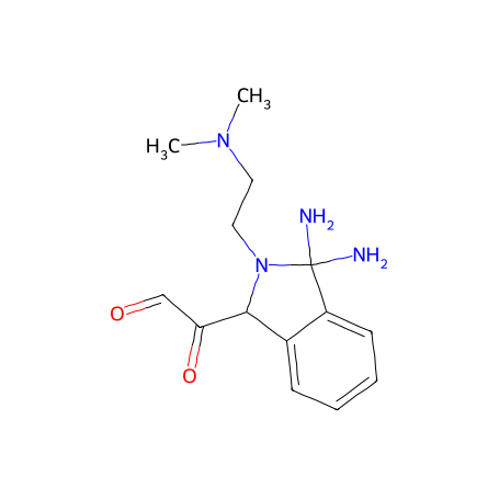 CN(C)CCN1C(C(=O)C=O)c2ccccc2C1(N)N